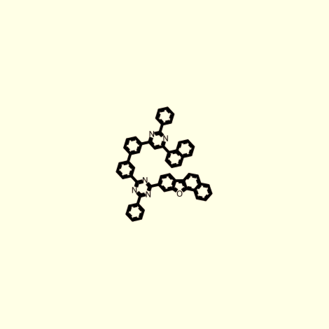 c1ccc(-c2nc(-c3cccc(-c4cccc(-c5nc(-c6ccccc6)nc(-c6ccc7c(c6)oc6c8ccccc8ccc76)n5)c4)c3)cc(-c3cccc4ccccc34)n2)cc1